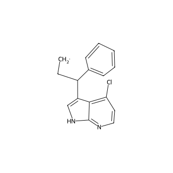 [CH2]CC(c1ccccc1)c1c[nH]c2nccc(Cl)c12